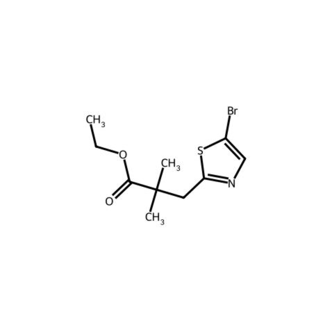 CCOC(=O)C(C)(C)Cc1ncc(Br)s1